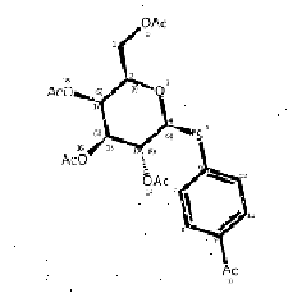 CC(=O)OC[C@H]1O[C@@H](Sc2ccc(C(C)=O)cc2)[C@H](OC(C)=O)[C@@H](OC(C)=O)[C@H]1OC(C)=O